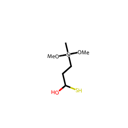 CO[Si](C)(CCC(O)S)OC